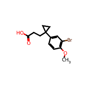 COc1ccc(C2(CCC(=O)O)CC2)cc1Br